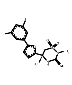 CN1C(=N)N[C@](C)(c2ccc(-c3cc(F)cc(Cl)c3)s2)CS1(=O)=O